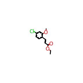 CCOC(=O)/C=C/c1ccc(Cl)cc1OC